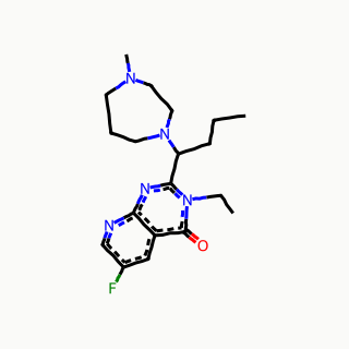 CCCC(c1nc2ncc(F)cc2c(=O)n1CC)N1CCCN(C)CC1